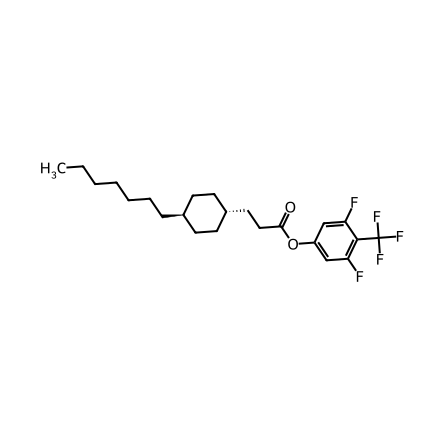 CCCCCCC[C@H]1CC[C@H](CCC(=O)Oc2cc(F)c(C(F)(F)F)c(F)c2)CC1